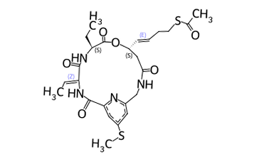 C/C=C1\NC(=O)c2cc(SC)cc(n2)CNC(=O)C[C@@H](/C=C/CCSC(C)=O)OC(=O)[C@H](CC)NC1=O